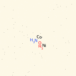 N.O.[Co].[Ni]